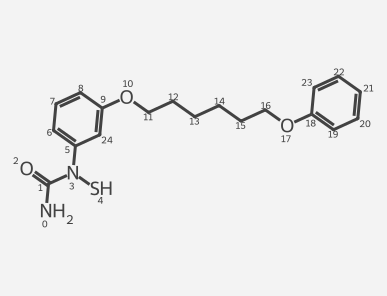 NC(=O)N(S)c1cccc(OCCCCCCOc2ccccc2)c1